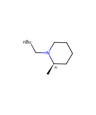 CCCCCN1CCCC[C@H]1C